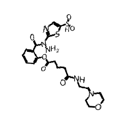 NN(C(=O)c1ccccc1OC(=O)CCCC(=O)NCCN1CCOCC1)c1ncc([SH](=O)=O)s1